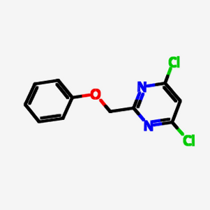 Clc1cc(Cl)nc(COc2ccccc2)n1